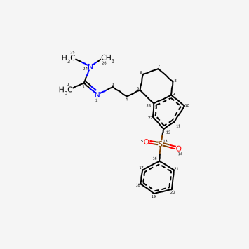 C/C(=N/CCC1CCCc2ccc(S(=O)(=O)c3ccccc3)cc21)N(C)C